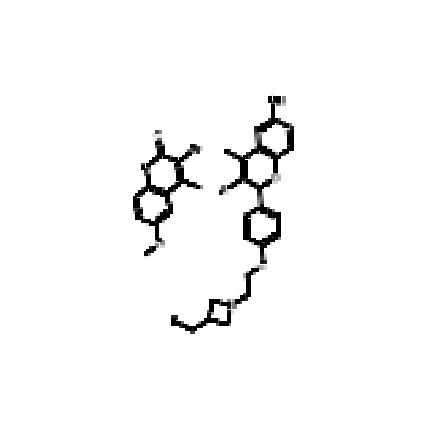 CC1=C(Br)C(c2ccc(OCCN3CC(CF)C3)cc2)Oc2ccc(O)cc21.COc1ccc2oc(=O)c(Br)c(C)c2c1